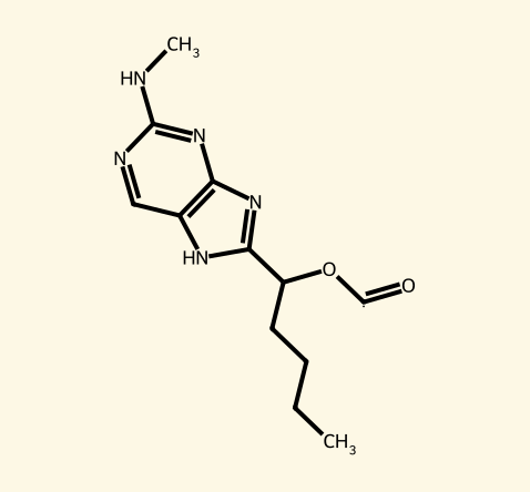 CCCCC(O[C]=O)c1nc2nc(NC)ncc2[nH]1